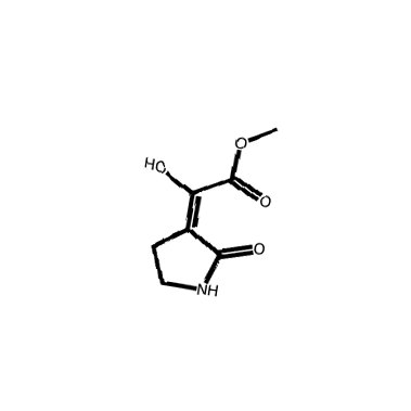 COC(=O)C(O)=C1CCNC1=O